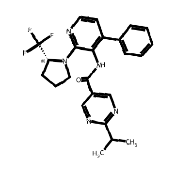 CC(C)c1ncc(C(=O)Nc2c(-c3ccccc3)ccnc2N2CCC[C@@H]2C(F)(F)F)cn1